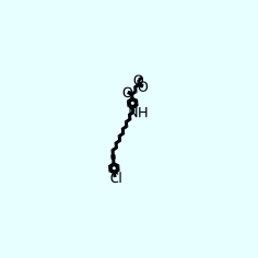 COC(=O)CCC(=O)c1ccc(NCCCCCCCCCCCC#Cc2ccc(Cl)cc2)cc1